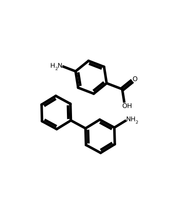 Nc1ccc(C(=O)O)cc1.Nc1cccc(-c2ccccc2)c1